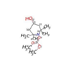 COC(OC)ON1C(C)(C)CC(O)CC1(C)C